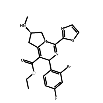 CCOC(=O)C1=C2C[C@@H](NC)CN2C(c2nccs2)=NC1c1ccc(F)cc1Br